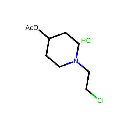 CC(=O)OC1CCN(CCCl)CC1.Cl